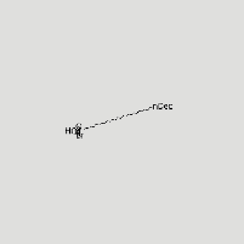 CCCCCCCCCCCCCCCCCCCCCCCCCCCCCCCCCCCCCC(=O)N(O)Br